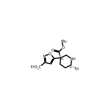 CCOC(=O)c1cc([C@@]2(C(=O)OC(C)(C)C)CC[C@@H](CC)NC2)on1